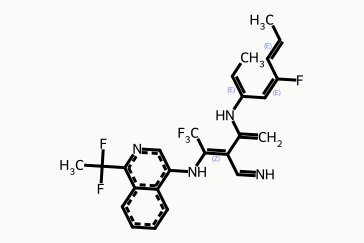 C=C(NC(/C=C(F)\C=C\C)=C/C)/C(C=N)=C(/Nc1cnc(C(C)(F)F)c2ccccc12)C(F)(F)F